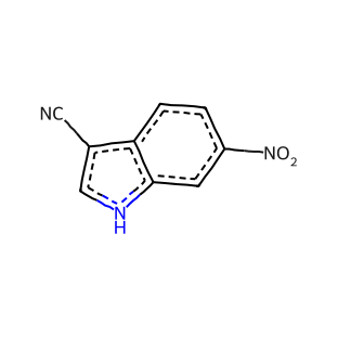 N#Cc1c[nH]c2cc([N+](=O)[O-])ccc12